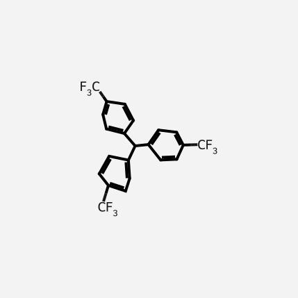 FC(F)(F)c1ccc(C(c2ccc(C(F)(F)F)cc2)c2ccc(C(F)(F)F)cc2)cc1